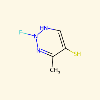 CC1=NN(F)N[C]=C1S